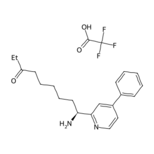 CCC(=O)CCCCC[C@H](N)c1cc(-c2ccccc2)ccn1.O=C(O)C(F)(F)F